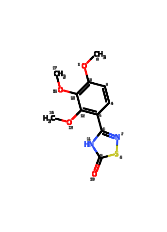 COc1ccc(-c2nsc(=O)[nH]2)c(OC)c1OC